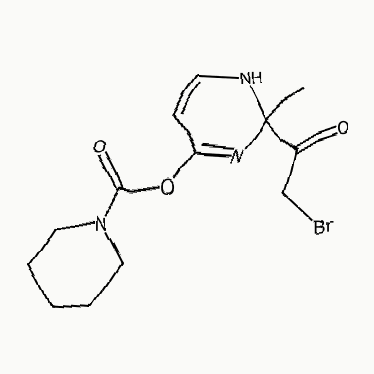 CC1(C(=O)CBr)N=C(OC(=O)N2CCCCC2)C=CN1